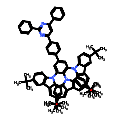 CC(C)(C)c1ccc2c(c1)c1cc(C(C)(C)C)ccc1n2-c1cc(-c2ccc(-c3cc(-c4ccccc4)nc(-c4ccccc4)n3)cc2)cc(-n2c3ccc(C(C)(C)C)cc3c3cc(C(C)(C)C)ccc32)c1-n1c2ccc(C(C)(C)C)cc2c2cc(C(C)(C)C)ccc21